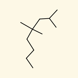 CCCCC(C)(C)CC(C)C